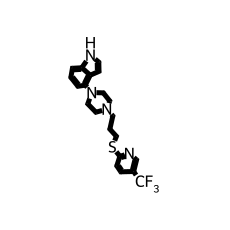 FC(F)(F)c1ccc(SCCCN2CCN(c3cccc4[nH]ccc34)CC2)nc1